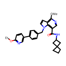 CCOc1ccc(-c2ccc(Cn3ccc4c(OC)ncc(C(=O)NC5CC6(CCC6)C5)c43)cc2)cn1